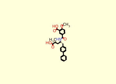 COc1ccc(C(=O)N[C@H](Cc2ccc(-c3ccccc3)cc2)C[C@@H](C)C(=O)O)cc1C(=O)O